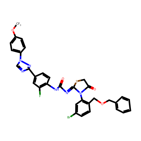 O=C(/N=C1\SCC(=O)N1c1cc(Br)ccc1COCc1ccccc1)Nc1ccc(-c2ncn(-c3ccc(OC(F)(F)F)cc3)n2)cc1F